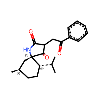 CC(C)[C@@H]1CC[C@@H](C)C[C@]12NC(=O)C(CC(=O)c1ccccc1)C2=O